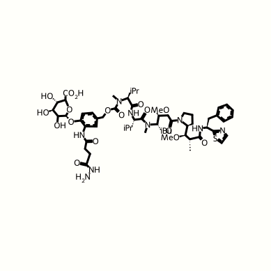 CCC(C)[C@@H]([C@@H](CC(=O)N1CCC[C@H]1[C@H](OC)[C@@H](C)C(=O)N[C@@H](Cc1ccccc1)c1nccs1)OC)N(C)C(=O)[C@@H](NC(=O)[C@H](C(C)C)N(C)C(=O)OCc1ccc(O[C@@H]2OC(C(=O)O)[C@@H](O)[C@H](O)C2O)c(NC(=O)CCC(=O)NN)c1)C(C)C